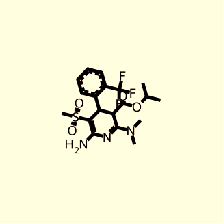 CC(C)OC(=O)C1C(N(C)C)=NC(N)=C(S(C)(=O)=O)C1c1ccccc1C(F)(F)F